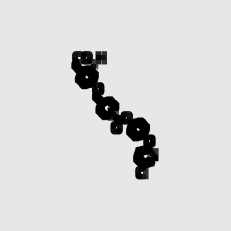 O=C(O)Cc1ccc(OCC2CCN(C(=O)Oc3ccc(Oc4ccc(Cl)cn4)cc3)CC2)cc1